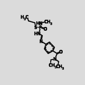 CCCSP(=O)(NC)NC=Nc1ccc(C(=O)N(CC)CC)cc1